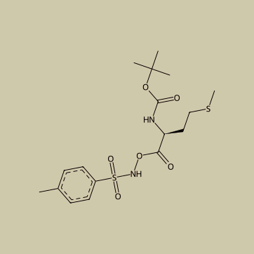 CSCC[C@H](NC(=O)OC(C)(C)C)C(=O)ONS(=O)(=O)c1ccc(C)cc1